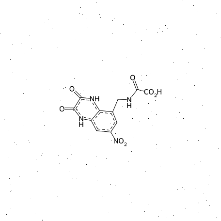 O=C(O)C(=O)NCc1cc([N+](=O)[O-])cc2[nH]c(=O)c(=O)[nH]c12